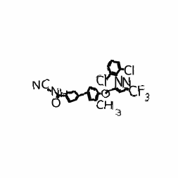 Cc1cc(-c2ccc(C(=O)NCC#N)cc2)ccc1OCc1cc(C(F)(F)F)nn1-c1c(Cl)cccc1Cl